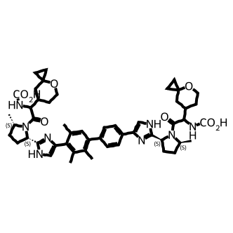 Cc1cc(-c2ccc(-c3c[nH]c([C@@H]4CC[C@H](C)N4C(=O)C(NC(=O)O)C4CCOC5(CC5)C4)n3)cc2)c(C)c(C)c1-c1c[nH]c([C@@H]2CC[C@H](C)N2C(=O)C(NC(=O)O)C2CCOC3(CC3)C2)n1